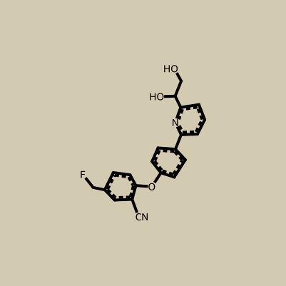 N#Cc1cc(CF)ccc1Oc1ccc(-c2cccc(C(O)CO)n2)cc1